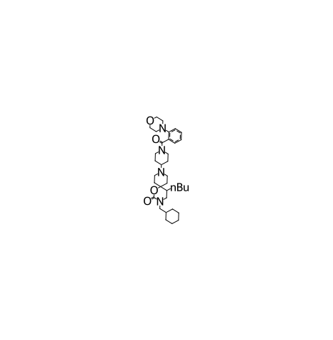 CCCCC1CN(CC2CCCCC2)C(=O)OC12CCN(C1CCN(C(=O)c3ccccc3N3CCOCC3)CC1)CC2